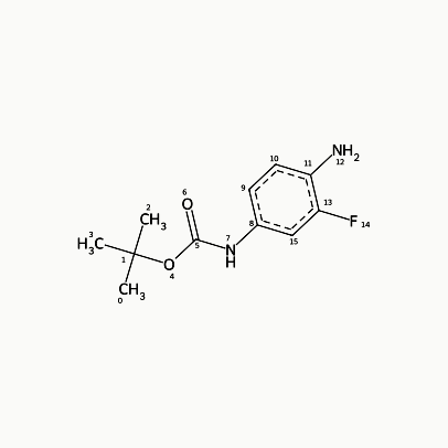 CC(C)(C)OC(=O)Nc1ccc(N)c(F)c1